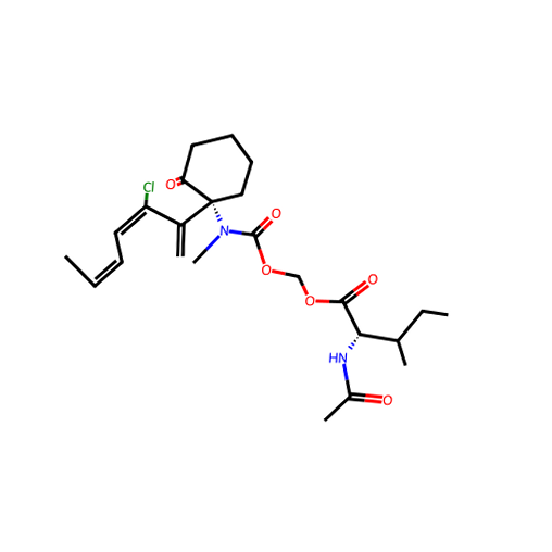 C=C(/C(Cl)=C\C=C/C)[C@]1(N(C)C(=O)OCOC(=O)[C@@H](NC(C)=O)C(C)CC)CCCCC1=O